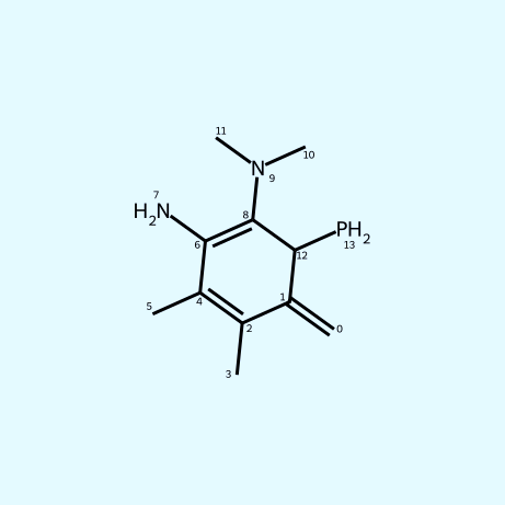 C=C1C(C)=C(C)C(N)=C(N(C)C)C1P